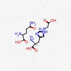 NC(=O)CCC(N)C(=O)O.NCC(=O)O.N[C@@H](Cc1c[nH]cn1)C(=O)O